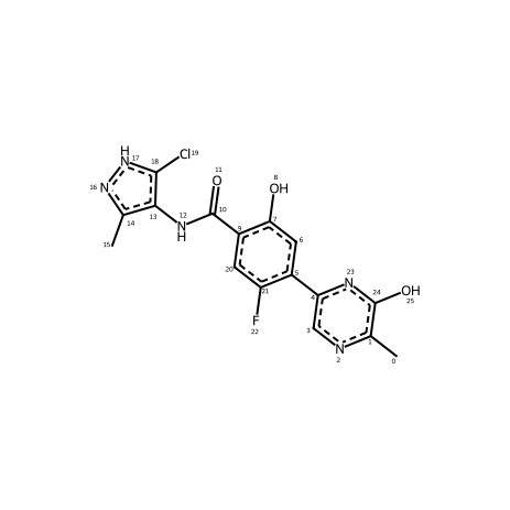 Cc1ncc(-c2cc(O)c(C(=O)Nc3c(C)n[nH]c3Cl)cc2F)nc1O